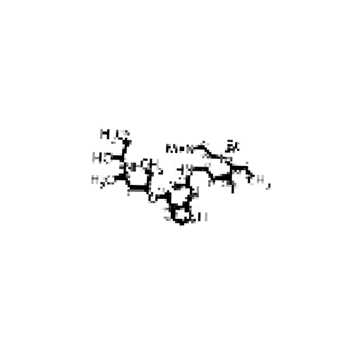 C=C/C(=C\C(=C)NC(O)C=C)Oc1nc(NC/C=C(F)\C(=C/C)N(CC)CCNC)nc2[nH]ccc12